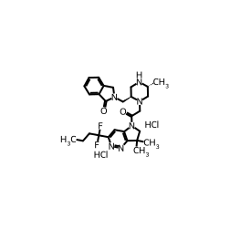 CCCC(F)(F)c1cc2c(nn1)C(C)(C)CN2C(=O)CN1C[C@@H](C)NC[C@@H]1CN1Cc2ccccc2C1=O.Cl.Cl